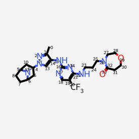 Cc1nn(C2CC3CCC(C2)N3C)cc1Nc1ncc(C(F)(F)F)c(NCCCN2CCOCCC2=O)n1